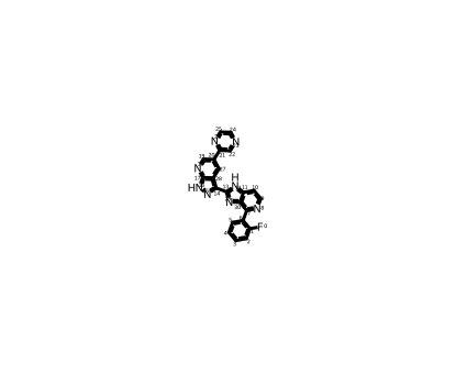 Fc1ccccc1-c1nccc2[nH]c(-c3n[nH]c4ncc(-c5cnccn5)cc34)nc12